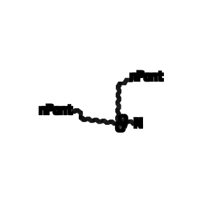 CCCCC/C=C/C/C=C\CCCCCCCCC1(CCCCCCCC/C=C\C/C=C/CCCCC)OCC(CCN(C)C)O1